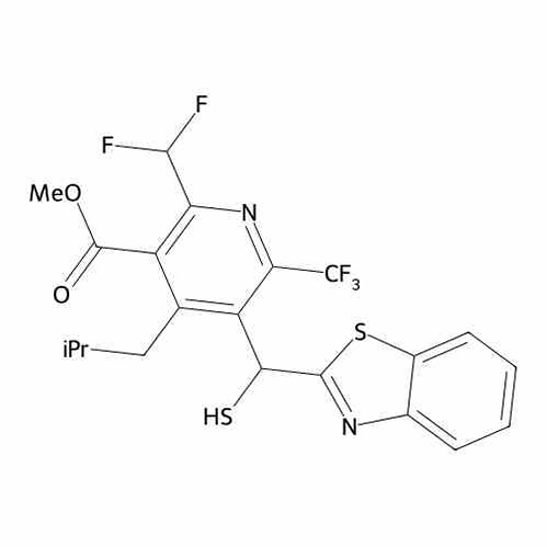 COC(=O)c1c(C(F)F)nc(C(F)(F)F)c(C(S)c2nc3ccccc3s2)c1CC(C)C